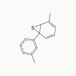 CC1=CC=CC2(c3cccc(C)c3)SC12